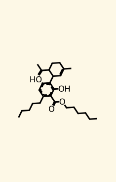 C=C(C)C1CCC(C)=CC1c1c(O)cc(CCCCC)c(C(=O)OCCCCCC)c1O